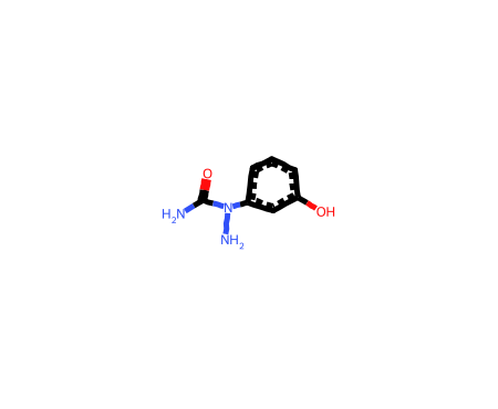 NC(=O)N(N)c1cccc(O)c1